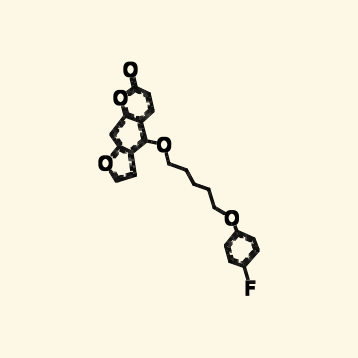 O=c1ccc2c(OCCCCCOc3ccc(F)cc3)c3ccoc3cc2o1